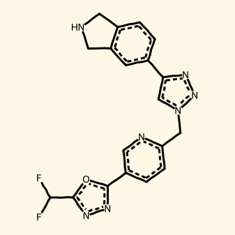 FC(F)c1nnc(-c2ccc(Cn3cc(-c4ccc5c(c4)CNC5)nn3)nc2)o1